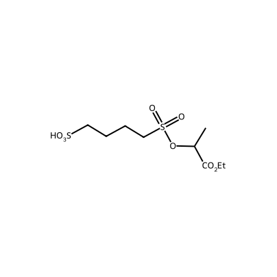 CCOC(=O)C(C)OS(=O)(=O)CCCCS(=O)(=O)O